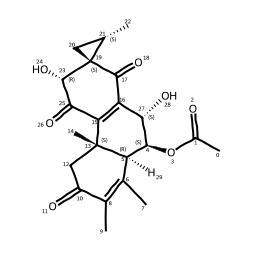 CC(=O)O[C@H]1[C@H]2C(C)=C(C)C(=O)C[C@]2(C)C2=C(C(=O)[C@]3(C[C@@H]3C)[C@@H](O)C2=O)[C@@H]1O